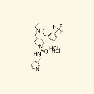 CCN(CC1CCN(C(=O)NCc2cccnc2)CC1)C(C)Cc1cccc(C(F)(F)F)c1.Cl.Cl